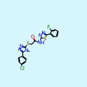 Cn1c(SCC(=O)Nc2nnc(-c3ccccc3F)s2)nnc1-c1ccc(Cl)cc1